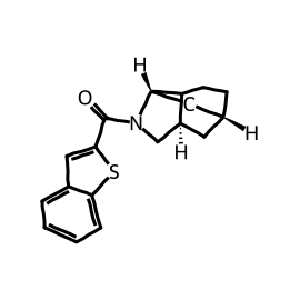 O=C(c1cc2ccccc2s1)N1C[C@@H]2C[C@H]3CCC2[C@@H]1C3